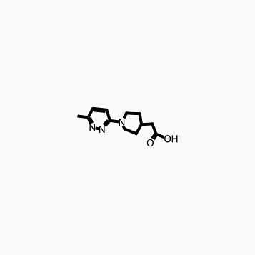 Cc1ccc(N2CCC(CC(=O)O)CC2)nn1